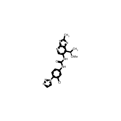 CO[C@H](C)c1c(NC(=O)Nc2ccc(-n3ccnn3)c(Cl)c2)cnc2sc(C)nc12